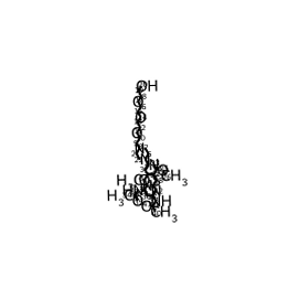 COc1cc(N2CCN(CCOCCOCCOCCO)CC2)nc(OC)c1Sc1nc(NC(C)=O)cc(NC(C)=O)n1